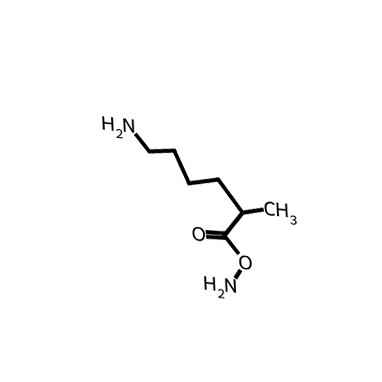 CC(CCCCN)C(=O)ON